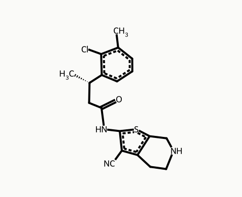 Cc1cccc([C@@H](C)CC(=O)Nc2sc3c(c2C#N)CCNC3)c1Cl